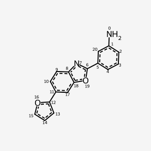 Nc1cccc(-c2nc3ccc(-c4ccco4)cc3o2)c1